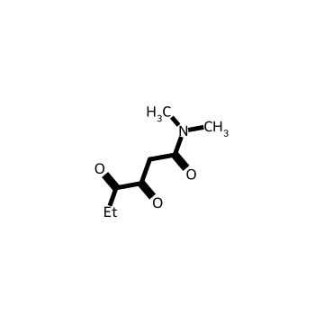 CCC(=O)C(=O)CC(=O)N(C)C